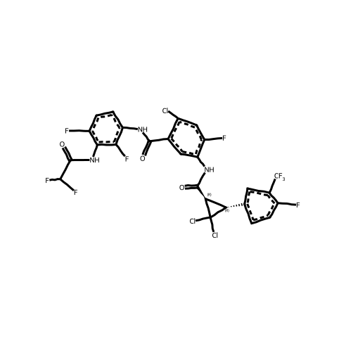 O=C(Nc1ccc(F)c(NC(=O)C(F)F)c1F)c1cc(NC(=O)[C@H]2[C@H](c3ccc(F)c(C(F)(F)F)c3)C2(Cl)Cl)c(F)cc1Cl